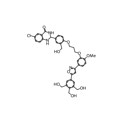 COc1ccc(-c2cc(-c3cc(CO)c(CO)c(CO)c3)on2)cc1OCCCOc1ccc(C2NC(=O)c3cc(Cl)ccc3N2)cc1CO